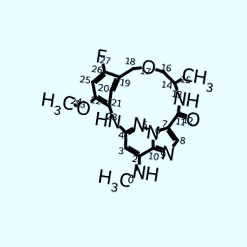 CNc1cc2nn3c(cnc13)C(=O)NC(C)COCc1cc(c(OC)cc1F)N2